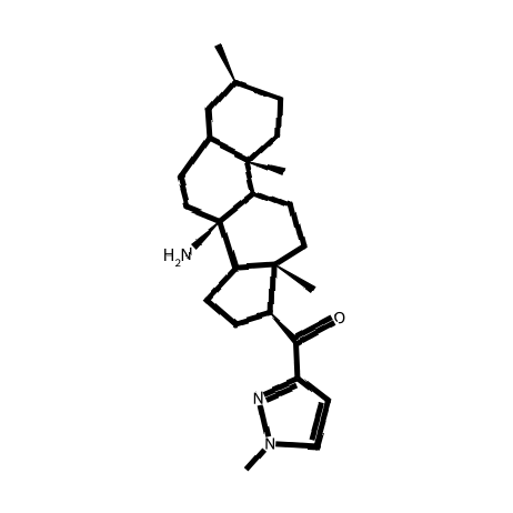 C[C@H]1CC[C@@]2(C)C(CC[C@]3(N)C2CC[C@@]2(C)C3CC[C@@H]2C(=O)c2ccn(C)n2)C1